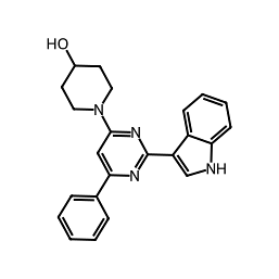 OC1CCN(c2cc(-c3ccccc3)nc(-c3c[nH]c4ccccc34)n2)CC1